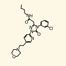 CCCCNC(=O)Cc1nn(-c2ccc(CCN3CCOCC3)cn2)c(=O)n1-c1cccc(Cl)c1